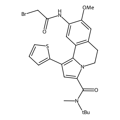 COc1cc2c(cc1NC(=O)CBr)-c1c(-c3cccs3)cc(C(=O)N(C)C(C)(C)C)n1CC2